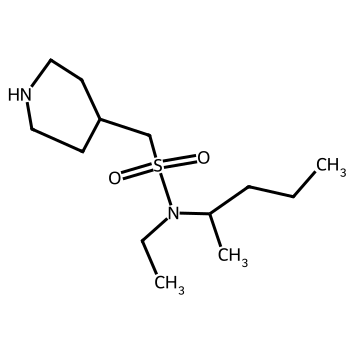 CCCC(C)N(CC)S(=O)(=O)CC1CCNCC1